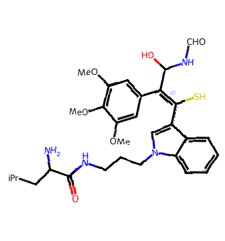 COc1cc(/C(=C(/S)c2cn(CCCNC(=O)C(N)CC(C)C)c3ccccc23)C(O)NC=O)cc(OC)c1OC